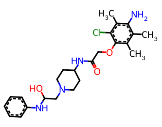 Cc1c(C)c(OCC(=O)NC2CCN(CC(O)Nc3ccccc3)CC2)c(Cl)c(C)c1N